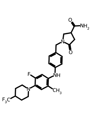 Cc1cc(N2CCC(C(F)(F)F)CC2)c(F)cc1Nc1ccc(CN2CC(C(N)=O)CC2=O)cc1